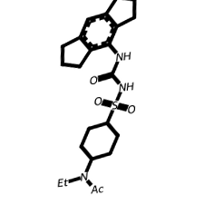 CCN(C(C)=O)C1CCC(S(=O)(=O)NC(=O)Nc2c3c(cc4c2CCC4)CCC3)CC1